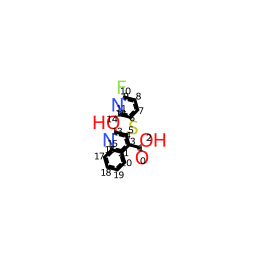 O=C(O)c1c(Sc2ccc(F)nc2)c(O)nc2ccccc12